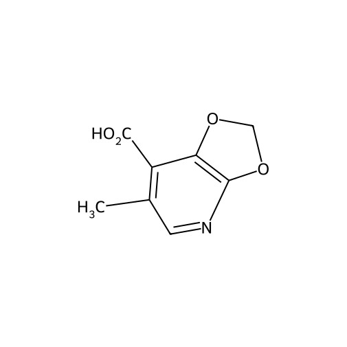 Cc1cnc2c(c1C(=O)O)OCO2